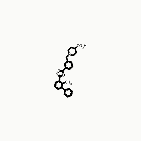 Cc1c(-c2ccccc2)cccc1-c1nnc(-c2cccc(CN3CCC(C(=O)O)CC3)c2)o1